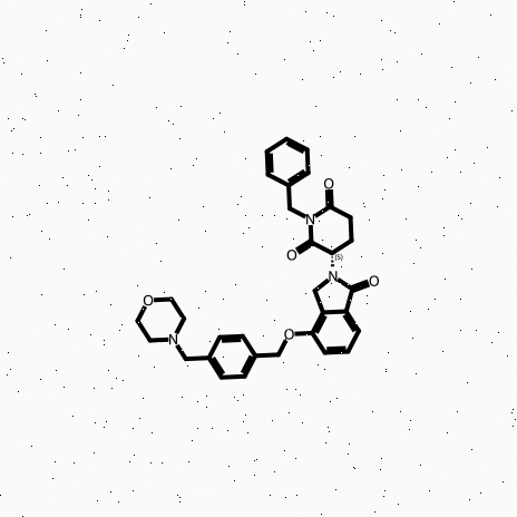 O=C1CC[C@H](N2Cc3c(OCc4ccc(CN5CCOCC5)cc4)cccc3C2=O)C(=O)N1Cc1ccccc1